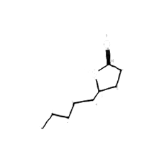 CCCCCC1CCC(=O)S1